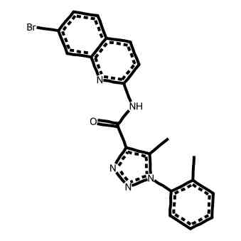 Cc1ccccc1-n1nnc(C(=O)Nc2ccc3ccc(Br)cc3n2)c1C